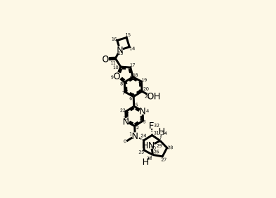 CN(c1cnc(-c2cc3oc(C(=O)N4CCC4)cc3cc2O)cn1)[C@H]1C[C@@H]2CC[C@@H](N2)[C@H]1F